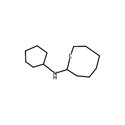 C1CCCC(NC2CCCCC2)CCC1